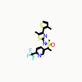 Cc1ccsc1-c1nc(N=S(C)(=O)C(C)c2ccc(C(F)(F)F)nc2)sc1C